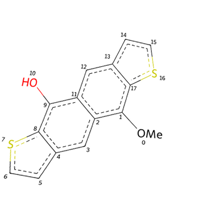 COc1c2cc3ccsc3c(O)c2cc2ccsc12